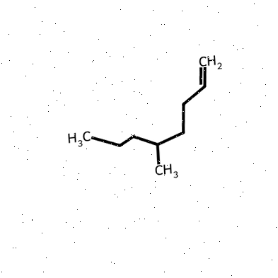 C=CCCC(C)CCC